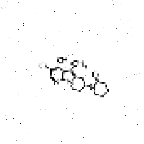 Cc1c(Cl)cnc2c1c(C)c1n2CCC(N2CCCCC2=O)C1